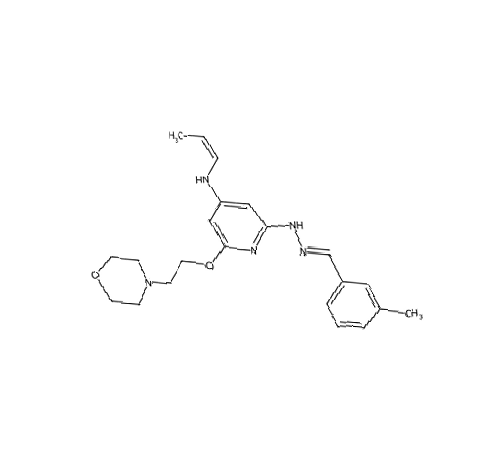 C/C=C\Nc1cc(N/N=C/c2cccc(C)c2)nc(OCCN2CCOCC2)c1